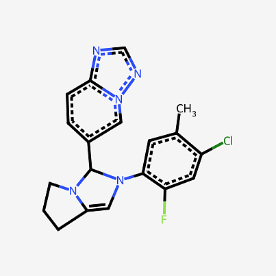 Cc1cc(N2C=C3CCCN3C2c2ccc3ncnn3c2)c(F)cc1Cl